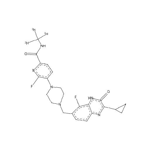 [2H]C([2H])([2H])NC(=O)c1ccc(N2CCN(Cc3ccc4nc(C5CC5)c(=O)[nH]c4c3F)CC2)c(F)n1